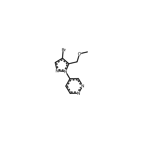 COCc1c(Br)cnn1-c1ccnnc1